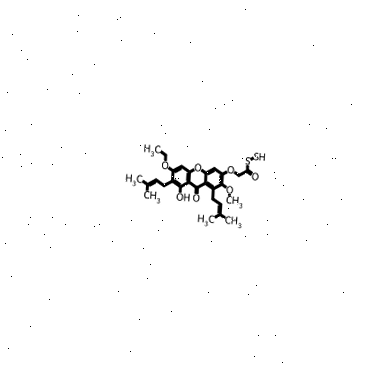 CCOc1cc2oc3cc(OCC(=O)SS)c(OC)c(CC=C(C)C)c3c(=O)c2c(O)c1CC=C(C)C